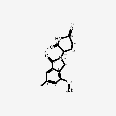 CCOc1cc(C)cc2c1CN(C1CCC(=O)NC1=O)C2=O